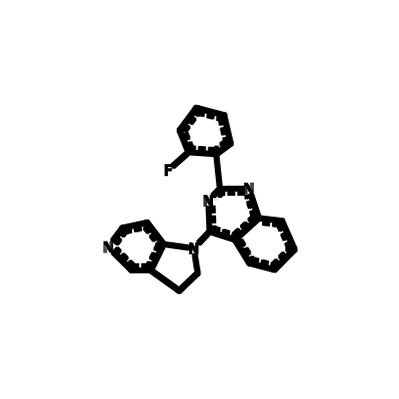 Fc1ccccc1-c1nc(N2CCc3cnccc32)c2ccccc2n1